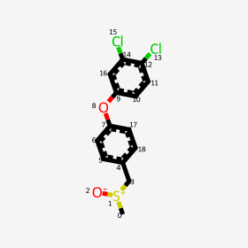 C[S+]([O-])Cc1ccc(Oc2ccc(Cl)c(Cl)c2)cc1